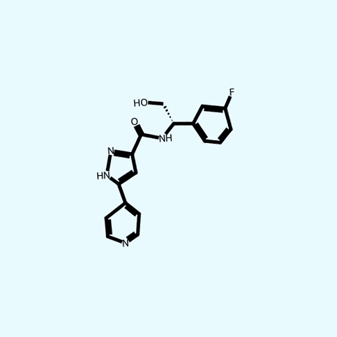 O=C(N[C@H](CO)c1cccc(F)c1)c1cc(-c2ccncc2)[nH]n1